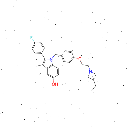 CCC1CN(CCOc2ccc(Cn3c(-c4ccc(F)cc4)c(C)c4cc(O)ccc43)cc2)C1